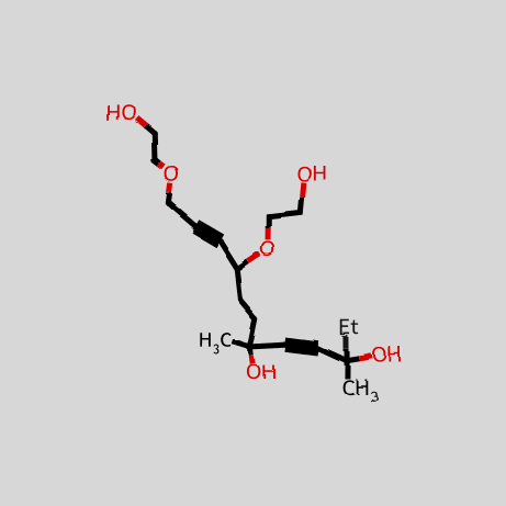 CCC(C)(O)C#CC(C)(O)CCC(C#CCOCCO)OCCO